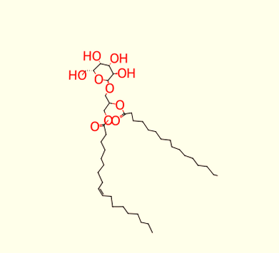 CCCCCCCC/C=C\CCCCCCCC(=O)OCC(CO[C@H]1O[C@H](CO)[C@H](O)[C@H](O)[C@H]1O)OC(=O)CCCCCCCCCCCCCCC